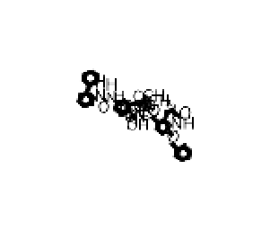 CC(C)(C)[Si](C)(C)O[C@H](CN(CCc1cccc(NC(=O)Nc2ccccc2-c2ccccc2)c1)C(=O)O)c1ccc(OCc2ccccc2)c2[nH]c(=O)ccc12